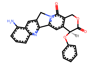 CC[C@@]1(Oc2ccccc2)C(=O)OCc2c1cc1n(c2=O)Cc2cc3c(N)cccc3nc2-1